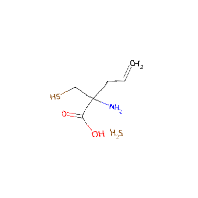 C=CCC(N)(CS)C(=O)O.S